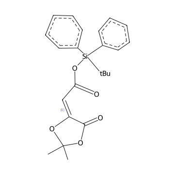 CC1(C)OC(=O)/C(=C\C(=O)O[Si](c2ccccc2)(c2ccccc2)C(C)(C)C)O1